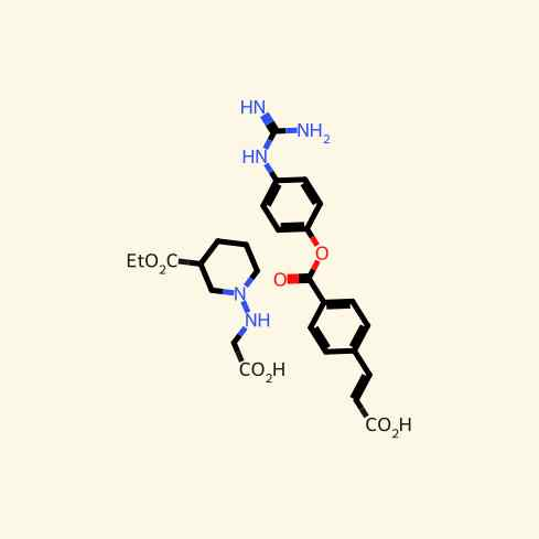 CCOC(=O)C1CCCN(NCC(=O)O)C1.N=C(N)Nc1ccc(OC(=O)c2ccc(C=CC(=O)O)cc2)cc1